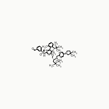 Cc1cccc(CC(C)(C)C)c1-c1nc(NS(=O)(=O)c2cccc(C=O)c2)nc(OC[C@@H](CC(C)(C)C)N(C)Cc2ncc(N3CCC(C)(C)C3)cn2)c1C